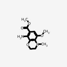 COC(=O)c1cc(OC)c2c(c1N)OCCN2C